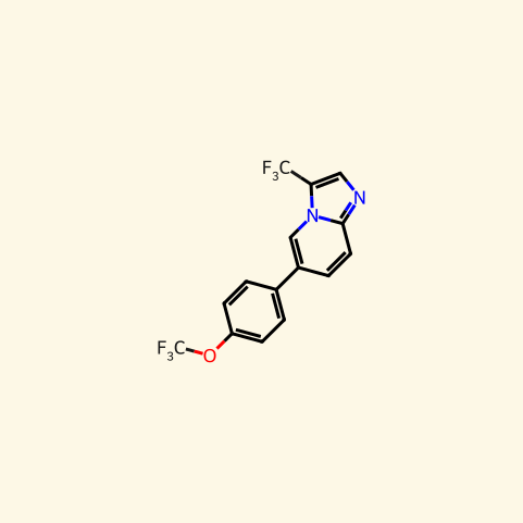 FC(F)(F)Oc1ccc(-c2ccc3ncc(C(F)(F)F)n3c2)cc1